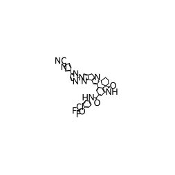 N#Cc1ccc(-c2ccnc(-n3cc4c(n3)-c3cc(-c5cc(C(=O)Nc6ccc(OC(F)(F)Cl)cc6)cc6c5C5(CCCCC5)C(=O)N6)cnc3C4)n2)cn1